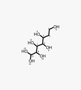 OCCC(O)C(O)C(O)C(O)C(O)O